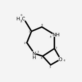 CC1CNC2COC2NC1